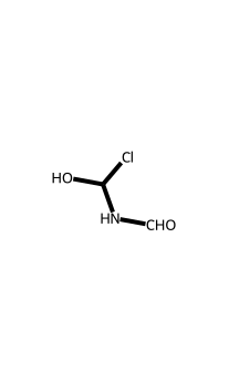 O=CNC(O)Cl